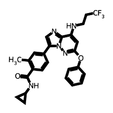 Cc1cc(-c2cnc3c(NCCC(F)(F)F)cc(Oc4ccccc4)nn23)ccc1C(=O)NC1CC1